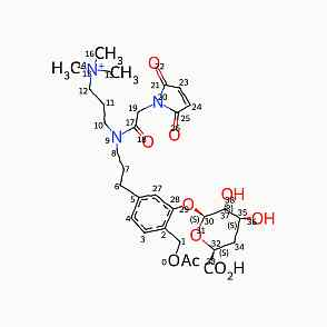 CC(=O)OCc1ccc(CCCN(CCC[N+](C)(C)C)C(=O)CN2C(=O)C=CC2=O)cc1O[C@@H]1O[C@H](C(=O)O)C[C@H](O)[C@H]1O